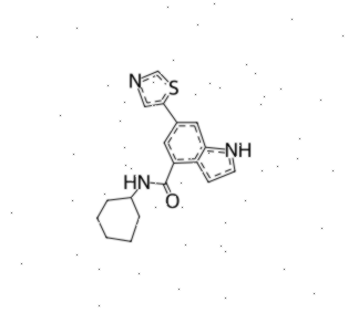 O=C(NC1CCCCC1)c1cc(-c2cncs2)cc2[nH]ccc12